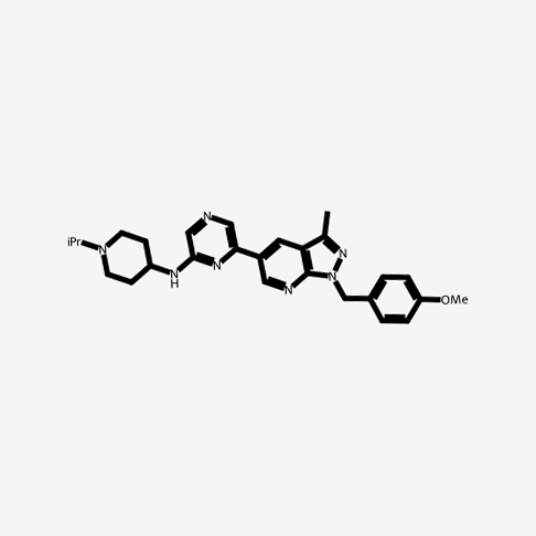 COc1ccc(Cn2nc(C)c3cc(-c4cncc(NC5CCN(C(C)C)CC5)n4)cnc32)cc1